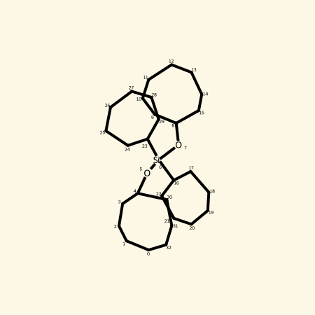 C1CCCC(O[Si](OC2CCCCCCC2)(C2CCCCCC2)C2CCCCCC2)CCC1